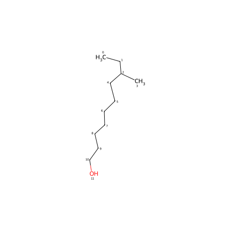 CCC(C)CCCCCCCO